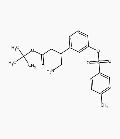 Cc1ccc(S(=O)(=O)Oc2cccc(C(CN)CC(=O)OC(C)(C)C)c2)cc1